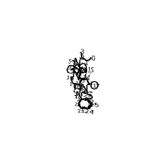 CCC(C)N(C)S(=O)(=O)N1CC[C@H]2[C@H]1[C@H](C)C(=O)N2c1nc2ccccc2s1